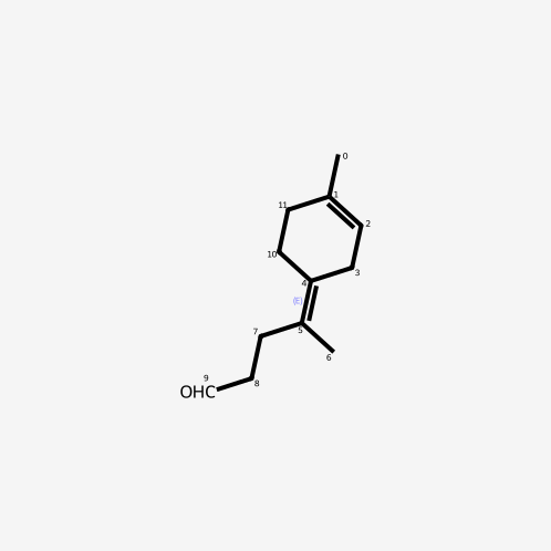 CC1=CC/C(=C(\C)CCC=O)CC1